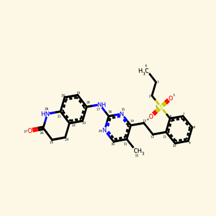 CCCS(=O)(=O)c1ccccc1CCc1nc(Nc2ccc3c(c2)CCC(=O)N3)ncc1C